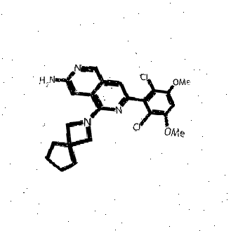 COc1cc(OC)c(Cl)c(-c2cc3cnc(N)cc3c(N3CC4(CCCC4)C3)n2)c1Cl